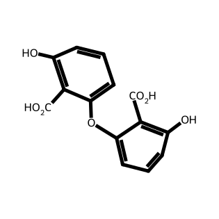 O=C(O)c1c(O)cccc1Oc1cccc(O)c1C(=O)O